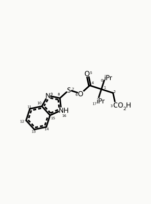 CC(C)C(CC(=O)O)(C(=O)OSc1nc2ccccc2[nH]1)C(C)C